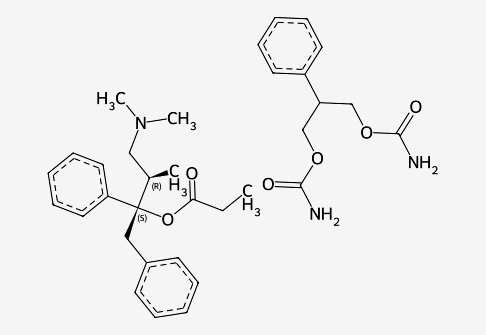 CCC(=O)O[C@](Cc1ccccc1)(c1ccccc1)[C@H](C)CN(C)C.NC(=O)OCC(COC(N)=O)c1ccccc1